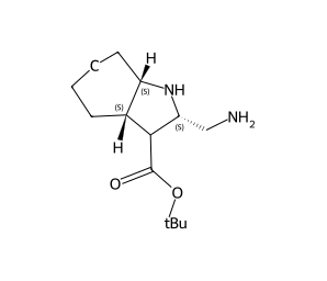 CC(C)(C)OC(=O)C1[C@@H](CN)N[C@H]2CCCC[C@@H]12